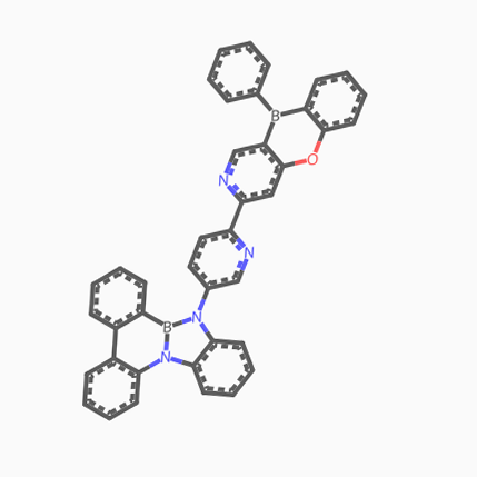 c1ccc(B2c3ccccc3Oc3cc(-c4ccc(N5B6c7ccccc7-c7ccccc7N6c6ccccc65)cn4)ncc32)cc1